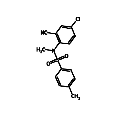 Cc1ccc(S(=O)(=O)N(C)c2ccc(Cl)cc2C#N)cc1